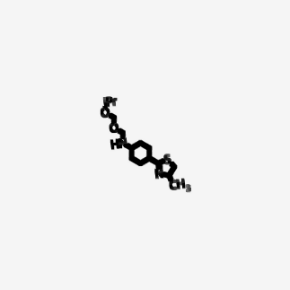 CC1CSC(C2CCC(NCOCOC(C)C)CC2)=N1